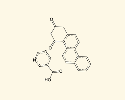 O=C(O)c1cncnc1.O=C1CC(=O)c2c(ccc3c2ccc2ccccc23)C1